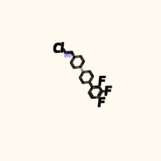 Fc1ccc(C2CCC([C@H]3CC[C@H](/C=C/Cl)CC3)CC2)c(F)c1F